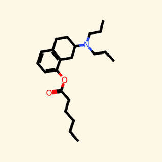 CCCCCC(=O)Oc1cccc2c1CC(N(CCC)CCC)CC2